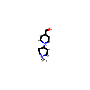 CN1CCC(N2CCC(C=O)CC2)CC1